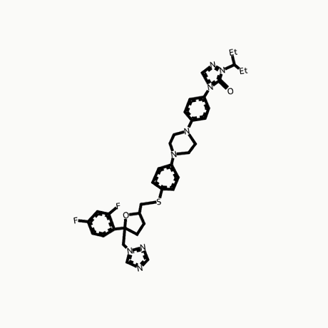 CCC(CC)n1ncn(-c2ccc(N3CCN(c4ccc(SCC5CCC(Cn6cncn6)(c6ccc(F)cc6F)O5)cc4)CC3)cc2)c1=O